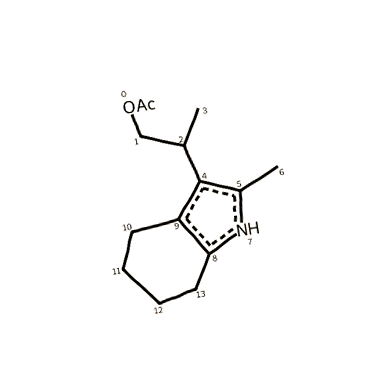 CC(=O)OCC(C)c1c(C)[nH]c2c1CCCC2